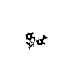 Cc1ccc(OCc2c(C)cccc2-n2nnn(C)c2=O)nc1C1CC1